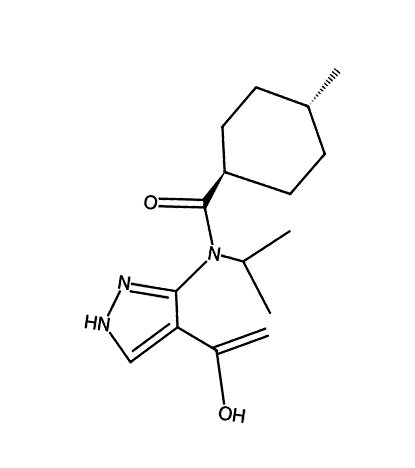 C=C(O)c1c[nH]nc1N(C(=O)[C@H]1CC[C@H](C)CC1)C(C)C